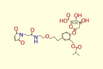 CC(C)C(=O)OCc1cc(CCCOCCNC(=O)CCN2C(=O)C=CC2=O)ccc1O[C@H]1C[C@@H](O)[C@H](O)[C@@H](C(=O)O)O1